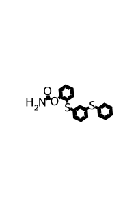 NC(=O)Oc1ccccc1Sc1cccc(Sc2ccccc2)c1